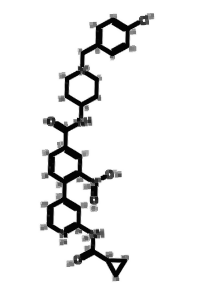 O=C(NC1CCN(Cc2ccc(Cl)cc2)CC1)c1ccc(-c2ccnc(NC(=O)C3CC3)c2)c([N+](=O)[O-])c1